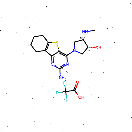 CN[C@H]1CN(c2nc(N)nc3c4c(sc23)CCCC4)C[C@@H]1O.O=C(O)C(F)(F)F